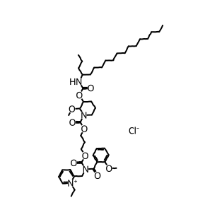 CCCCCCCCCCCCCCC(CCC)NC(=O)OC1CCCN(C(=O)OCCCOC(=O)N(Cc2cccc[n+]2CC)C(=O)c2ccccc2OC)C1OC.[Cl-]